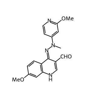 COc1ccc2/c(=N/N(C)c3ccnc(OC)c3)c(C=O)c[nH]c2c1